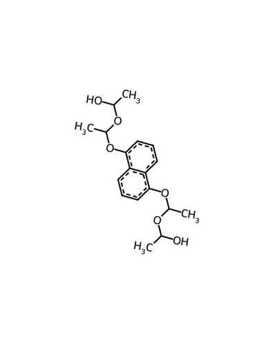 CC(O)OC(C)Oc1cccc2c(OC(C)OC(C)O)cccc12